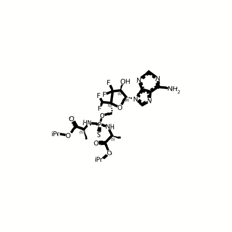 CC(C)OC(=O)[C@H](C)NP(=S)(N[C@@H](C)C(=O)OC(C)C)OC[C@@]1(C(F)F)O[C@@H](n2cnc3c(N)ncnc32)[C@H](O)C1(F)F